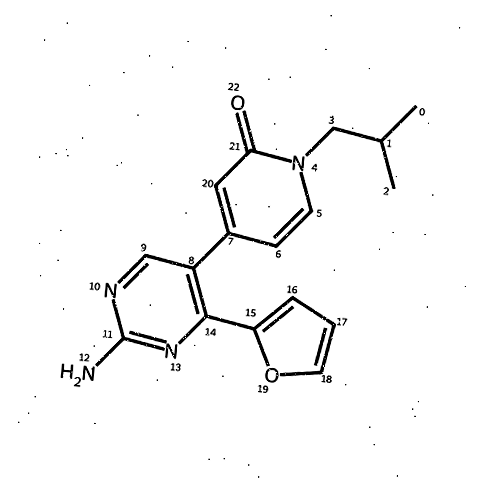 CC(C)Cn1ccc(-c2cnc(N)nc2-c2ccco2)cc1=O